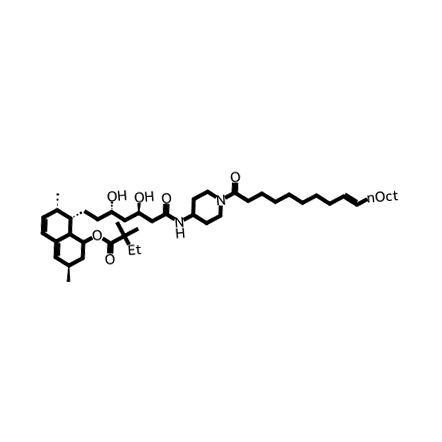 CCCCCCCCC=CCCCCCCCC(=O)N1CCC(NC(=O)C[C@H](O)C[C@@H](O)CC[C@@H]2C3C(=C[C@H](C)CC3OC(=O)C(C)(C)CC)C=C[C@@H]2C)CC1